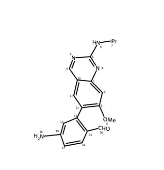 COc1cc2nc(NC(C)C)ncc2cc1-c1cc(N)ccc1C=O